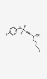 CCCCCC(O)C#CC(F)(F)Oc1ccc(F)cc1